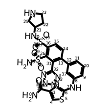 NC(=O)c1csc(Nc2cccc(-c3ccc(S(=O)(=O)NC4CCNC4)c(S(N)(=O)=O)c3-c3nn[nH]n3)c2)n1